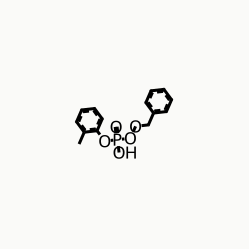 Cc1ccccc1OP(=O)(O)OOCc1ccccc1